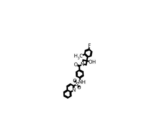 Cc1cc(F)ccc1C1(O)CN(C(=O)c2ccc(NS(=O)(=O)c3ccc4ccccc4n3)cc2)C1